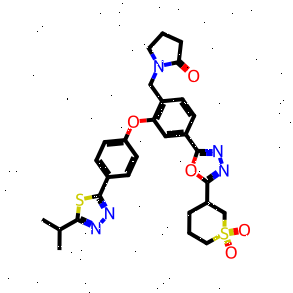 CC(C)c1nnc(-c2ccc(Oc3cc(-c4nnc(C5CCCS(=O)(=O)C5)o4)ccc3CN3CCCC3=O)cc2)s1